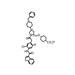 O=C(Nc1cc(F)c(CC(=O)N2C[C@@H](C3CCN(Cc4ccccc4)CC3)C[C@H]2CO[C@H]2CC[C@H](C(=O)O)CC2)cc1Cl)c1csc2ccccc12